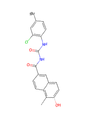 Cc1c(O)ccc2cc(C(=O)NC(=O)Nc3ccc(C(C)(C)C)cc3Cl)ccc12